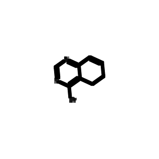 CC(C)c1ncnc2c1CCC=C2